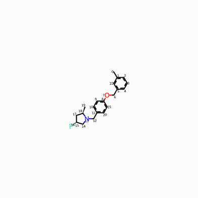 Cc1cccc(COc2ccc(CN3C[C@@H](F)C[C@H]3C)cc2)c1